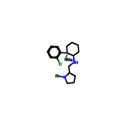 CCN1CCCC1CN[C@@H]1CCCC[C@]1(NC)c1ccccc1Cl